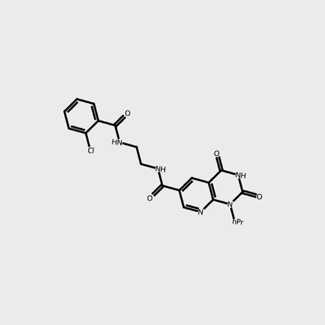 CCCn1c(=O)[nH]c(=O)c2cc(C(=O)NCCNC(=O)c3ccccc3Cl)cnc21